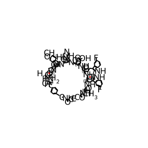 COc1ccc(C[C@@H]2NC(=O)[C@H](Cc3cnc[nH]3)NC(=O)[C@H](CC(=O)O)NC(=O)[C@H](CCc3c[nH]c4ccc(F)cc34)NC(=O)[C@H](Cc3c[nH]c4ccc(F)cc34)NC(=O)[C@@H](C)NC(=O)CCCC(=O)NCc3ccc(cc3)C[C@@H](C(N)=O)NC(=O)[C@]3(C)CCCN3C2=O)cc1